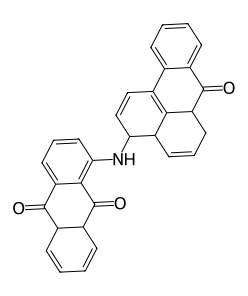 O=C1c2ccccc2C2=C3C1CC=CC3C(Nc1cccc3c1C(=O)C1C=CC=CC1C3=O)C=C2